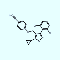 C#Cc1ccc(OCc2c(-c3c(Cl)cccc3Cl)noc2C2CC2)cc1